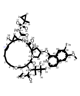 CC[C@@H]1OCCC/C=C\[C@@H]2C[C@@]2(C(=O)NS(=O)(=O)C2(C)CC2)NC(=O)[C@@H]2C[C@@H](Oc3nccc4cc(OC)c(F)cc34)CN2C(=O)[C@H]1N(C(=O)O)C(C)(C)C(F)(F)F